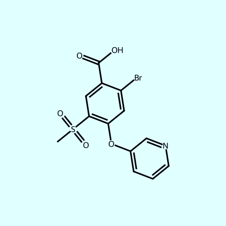 CS(=O)(=O)c1cc(C(=O)O)c(Br)cc1Oc1cccnc1